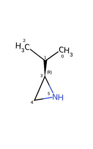 CC(C)[C@@H]1CN1